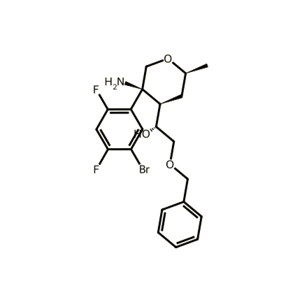 C[C@H]1C[C@@H]([C@@H](O)COCc2ccccc2)[C@](N)(c2cc(Br)c(F)cc2F)CO1